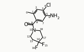 Cc1cc(Cl)c(N)cc1C(=O)N1CCC(F)(F)CC1